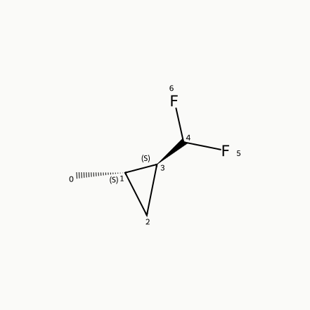 C[C@H]1C[C@@H]1C(F)F